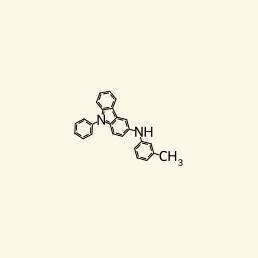 Cc1cccc(Nc2ccc3c(c2)c2ccccc2n3-c2ccccc2)c1